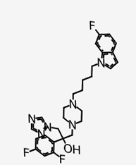 OC(CN1CCN(CCCCCn2ccc3ccc(F)cc32)CC1)(Cn1cncn1)c1ccc(F)cc1F